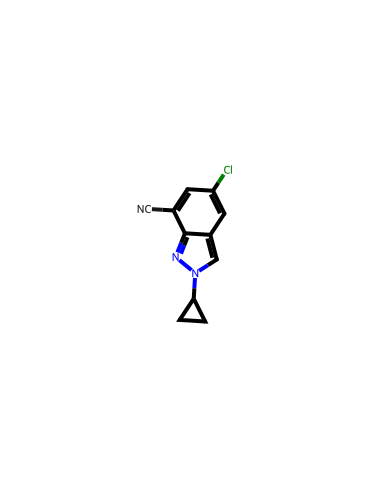 N#Cc1cc(Cl)cc2cn(C3CC3)nc12